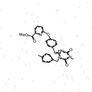 COC(=O)c1cccc(Oc2ccc(/N=c3\[nH]c(=O)n(C)c(=O)n3Cc3ccc(C)cc3)cc2)n1